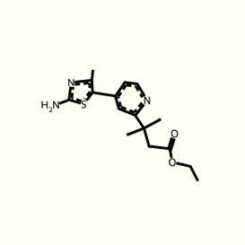 CCOC(=O)CC(C)(C)c1cc(-c2sc(N)nc2C)ccn1